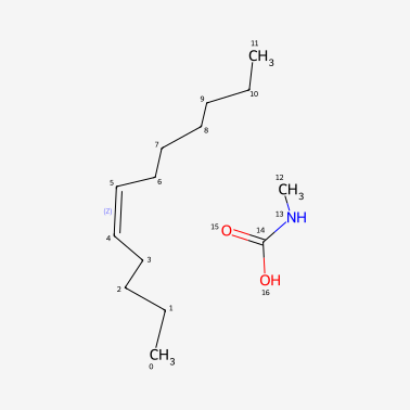 CCCC/C=C\CCCCCC.CNC(=O)O